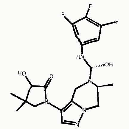 C[C@H]1Cn2ncc(N3CC(C)(C)C(O)C3=O)c2CN1[C@@H](O)Nc1cc(F)c(F)c(F)c1